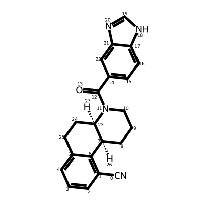 N#Cc1cccc2c1[C@@H]1CCCN(C(=O)c3ccc4[nH]cnc4c3)[C@@H]1CC2